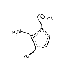 [C-]#[N+]c1ccn(C(=O)OCC)c1N